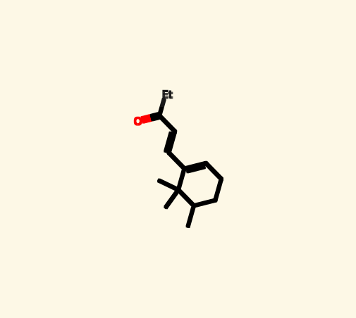 CCC(=O)C=CC1=CCCC(C)C1(C)C